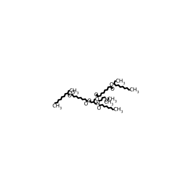 CCCCCCCCC(CC)OC(=O)CCCCCCC(=O)OCC(COC(=O)CCCCCCC(=O)OC(CC)CCCCCCCC)CN(CCCCN(C)C)C(=O)CCCCCCC